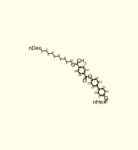 CCCCCCCCCCCCCCCCCCCCOC(C)c1ccc(C(=O)Oc2ccc(-c3ccc(OCCCCCC)cc3)cc2)cc1